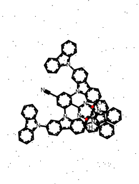 Cc1cc(C)nc(-c2c(-n3c4cc(-n5c6ccccc6c6ccccc65)ccc4c4ccc(-n5c6ccccc6c6ccccc65)cc43)cc(C#N)cc2-n2c3cc(-n4c5ccccc5c5ccccc54)ccc3c3ccc(-n4c5ccccc5c5ccccc54)cc32)n1